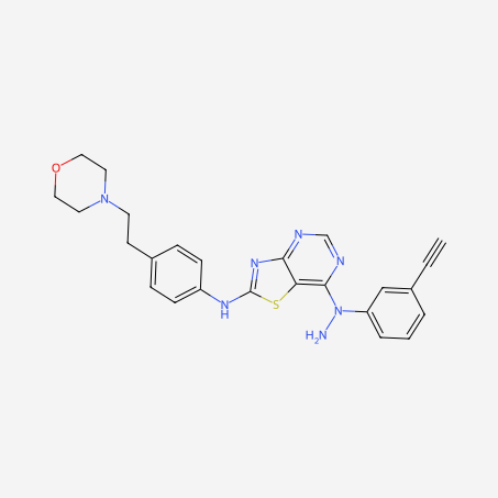 C#Cc1cccc(N(N)c2ncnc3nc(Nc4ccc(CCN5CCOCC5)cc4)sc23)c1